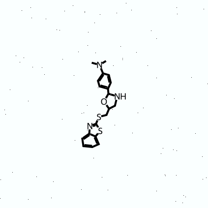 CN(C)c1ccc(C2NCC(CSc3nc4ccccc4s3)O2)cc1